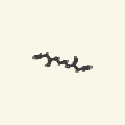 N#CCC(=O)OCOOC(=O)CC#N